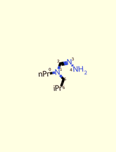 CCCN(/C=N\N)CC(C)C